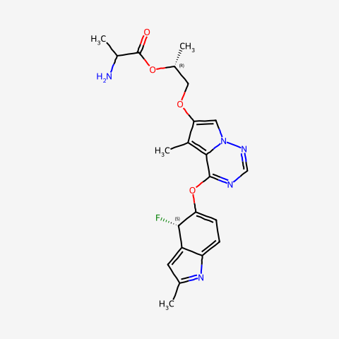 CC1=NC2=CC=C(Oc3ncnn4cc(OC[C@@H](C)OC(=O)C(C)N)c(C)c34)[C@@H](F)C2=C1